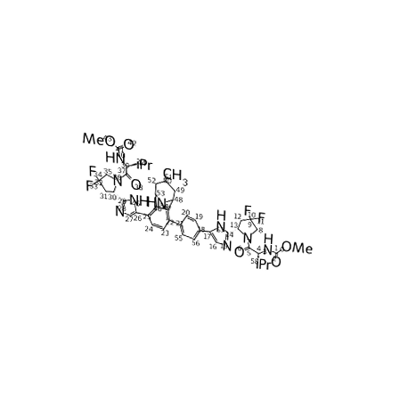 COC(=O)N[C@H](C(=O)N1CC(F)(F)C[C@H]1c1ncc(-c2ccc(-c3ccc(-c4cnc([C@@H]5CC(F)(F)CN5C(=O)[C@@H](NC(=O)OC)C(C)C)[nH]4)c4c3C3CC(C)CC4N3)cc2)[nH]1)C(C)C